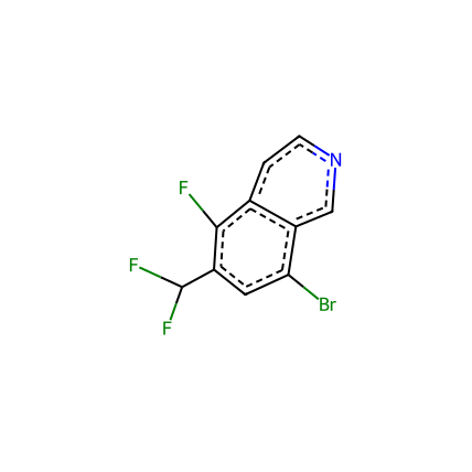 Fc1c(C(F)F)cc(Br)c2cnccc12